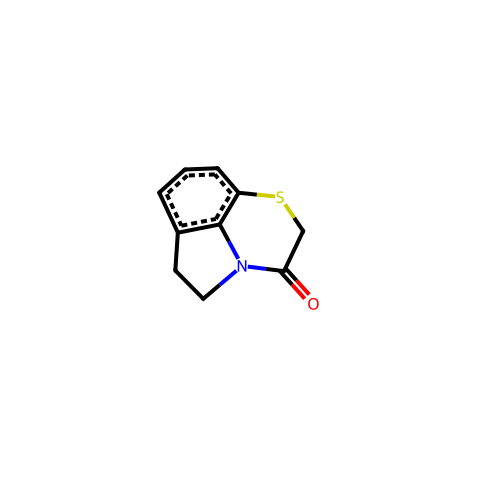 O=C1CSc2cccc3c2N1CC3